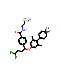 Cc1cc(OC(CCC(F)F)c2ccc(C(=O)NCCC(=O)O)cc2)cc(C)c1C1=CCC(F)(C(C)C)C=C1